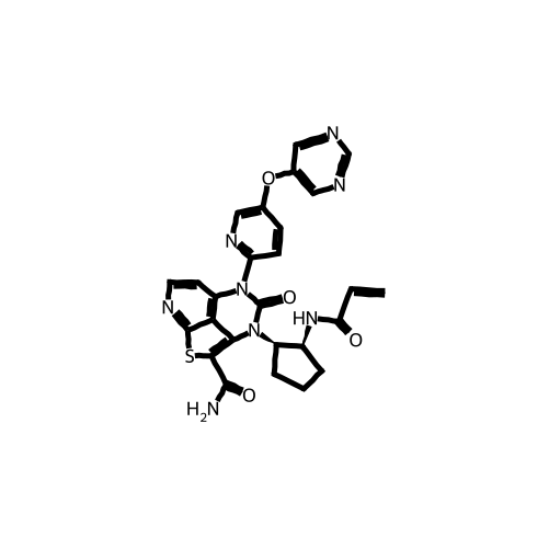 C=CC(=O)N[C@H]1CCC[C@H]1N1C(=O)N(c2ccc(Oc3cncnc3)cn2)c2ccnc3sc(C(N)=O)c1c23